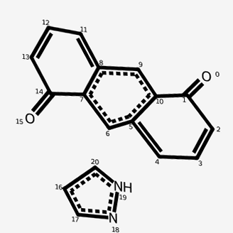 O=C1C=CC=c2cc3c(cc21)=CC=CC3=O.c1cn[nH]c1